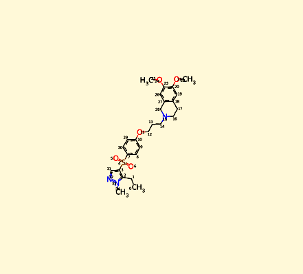 CCc1c(S(=O)(=O)c2ccc(OCCCN3CCc4cc(OC)c(OC)cc4C3)cc2)cnn1C